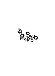 Cc1ccccc1-n1nc(C2CCCC2)c2nc(Nc3ccc(N4CCN(C)CC4)cc3)ncc2c1=O